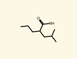 CCCC(CC(C)C)C([NH])=O